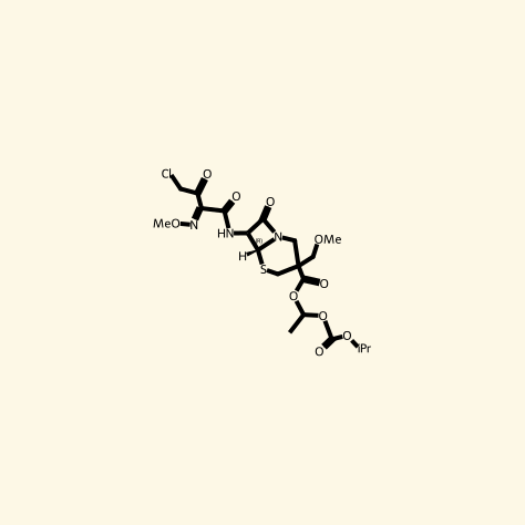 COCC1(C(=O)OC(C)OC(=O)OC(C)C)CS[C@@H]2C(NC(=O)C(=NOC)C(=O)CCl)C(=O)N2C1